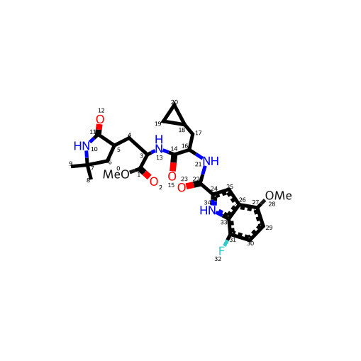 COC(=O)C(CC1CC(C)(C)NC1=O)NC(=O)C(CC1CC1)NC(=O)c1cc2c(OC)ccc(F)c2[nH]1